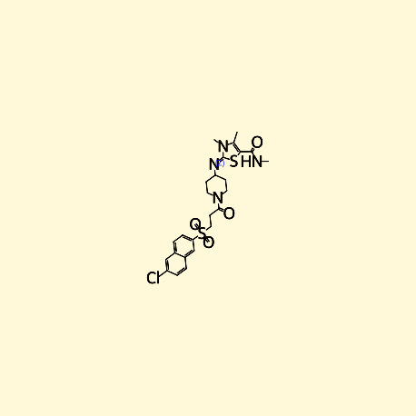 CNC(=O)c1s/c(=N\C2CCN(C(=O)CCS(=O)(=O)c3ccc4cc(Cl)ccc4c3)CC2)n(C)c1C